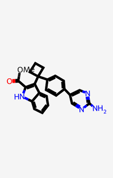 COC(=O)c1[nH]c2ccccc2c1C1(c2ccc(-c3cnc(N)nc3)cc2)CCC1